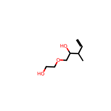 C=CC(C)C(O)COCCO